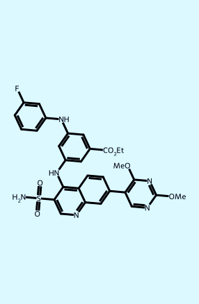 CCOC(=O)c1cc(Nc2cccc(F)c2)cc(Nc2c(S(N)(=O)=O)cnc3cc(-c4cnc(OC)nc4OC)ccc23)c1